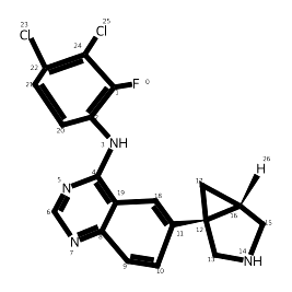 Fc1c(Nc2ncnc3ccc([C@]45CNC[C@H]4C5)cc23)ccc(Cl)c1Cl